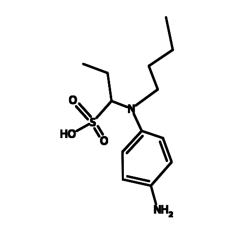 CCCCN(c1ccc(N)cc1)C(CC)S(=O)(=O)O